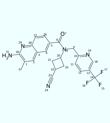 Cc1cc2cc(C(=O)N(Cc3ccc(C(F)(F)F)cn3)C3CC(C#N)C3)ccc2nc1N